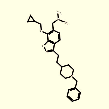 CN(C)Cc1ccc2c(CCC3CCN(Cc4ccccc4)CC3)noc2c1OCC1CC1